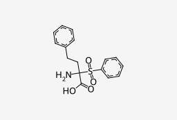 NC(CCc1ccccc1)(C(=O)O)S(=O)(=O)c1ccccc1